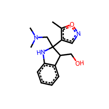 Cc1oncc1C1(CN(C)C)Nc2ccccc2C1CO